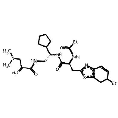 C=C(CN(C)C)C(=O)NC[C@@H](NC(=O)[C@H](Cc1nc2c(s1)CC(CC)C=C2)NC(=O)CC)C1CCCC1